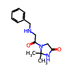 CC1(C)NC(=O)CN1C(=O)CNCc1ccccc1